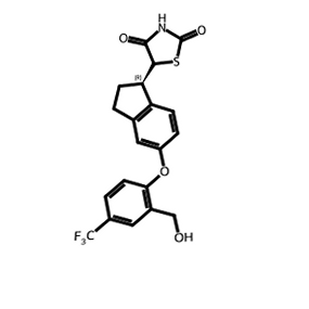 O=C1NC(=O)C([C@@H]2CCc3cc(Oc4ccc(C(F)(F)F)cc4CO)ccc32)S1